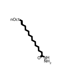 CCCCCCCCC=CCCCCCCCCCCCC(=O)NN